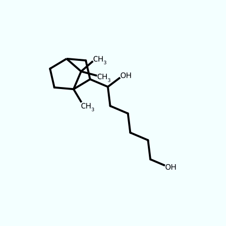 CC1(C)C2CCC1(C)C(C(O)CCCCCO)C2